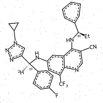 [2H][C@](Nc1cc(C(F)(F)F)c2ncc(C#N)c(N[C@H](CC)c3ccccc3)c2c1)(c1ccc(F)cc1)c1cn(C2CC2)nn1